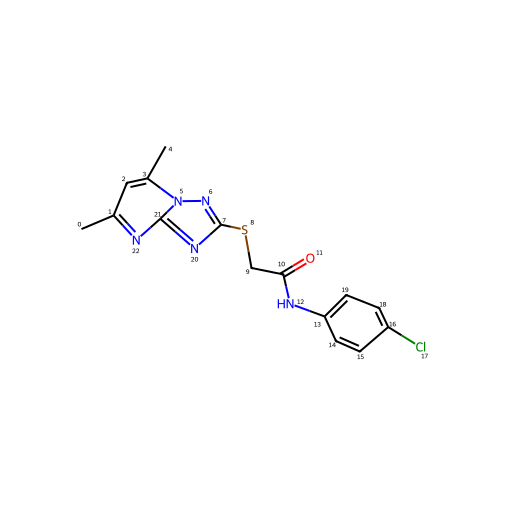 Cc1cc(C)n2nc(SCC(=O)Nc3ccc(Cl)cc3)nc2n1